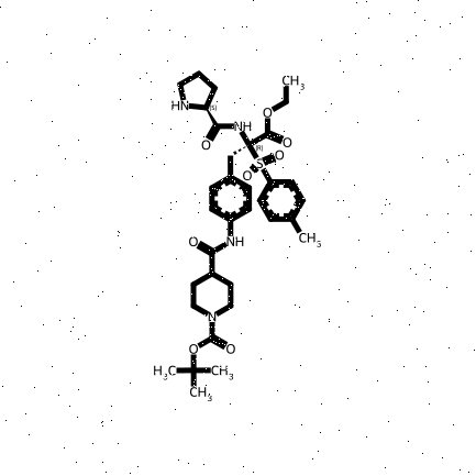 CCOC(=O)[C@](Cc1ccc(NC(=O)C2CCN(C(=O)OC(C)(C)C)CC2)cc1)(NC(=O)[C@@H]1CCCN1)S(=O)(=O)c1ccc(C)cc1